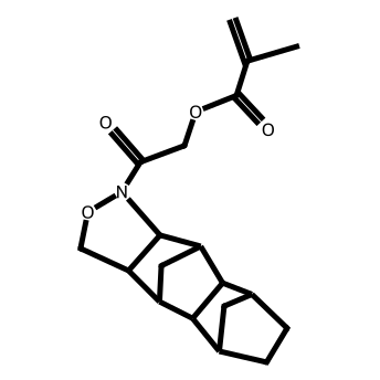 C=C(C)C(=O)OCC(=O)N1OCC2C3CC(C4C5CCC(C5)C34)C21